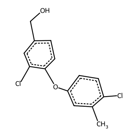 Cc1cc(Oc2ccc(CO)cc2Cl)ccc1Cl